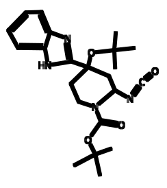 CC(C)(C)OC(=O)N1CCC(OC(C)(C)C)(c2nc3ccccc3[nH]2)CC1N=C=O